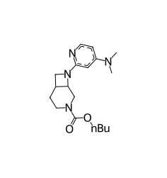 CCCCOC(=O)N1CCC2CN(c3cc(N(C)C)ccn3)C2C1